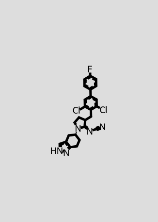 N#CN=C1C(Cc2c(Cl)cc(-c3ccc(F)cc3)cc2Cl)CCN1[C@@H]1CCc2n[nH]cc2C1